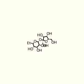 CC[C@H]1O[C@H](O[C@]2(CO)O[C@H](CO)[C@@H](O)[C@@H]2O)[C@@H](O)[C@@H](O)[C@@H]1O